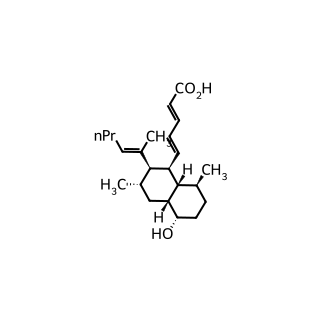 CCC/C=C(\C)[C@H]1[C@@H](/C=C/C=C/C(=O)O)[C@H]2[C@@H](C[C@@H]1C)[C@@H](O)CC[C@@H]2C